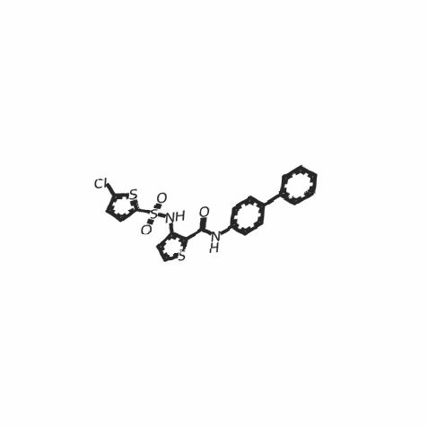 O=C(Nc1ccc(-c2ccccc2)cc1)c1sccc1NS(=O)(=O)c1ccc(Cl)s1